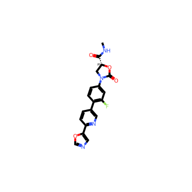 CNC(=O)[C@H]1CN(c2ccc(-c3ccc(-c4cnco4)nc3)c(F)c2)C(=O)O1